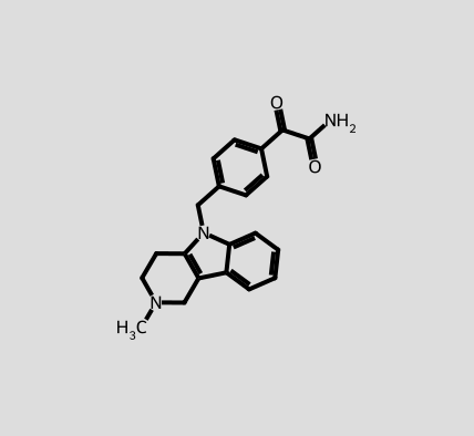 CN1CCc2c(c3ccccc3n2Cc2ccc(C(=O)C(N)=O)cc2)C1